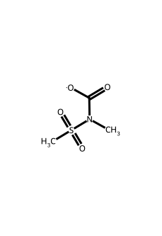 CN(C([O])=O)S(C)(=O)=O